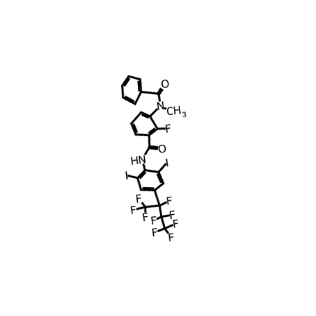 CN(C(=O)c1ccccc1)c1cccc(C(=O)Nc2c(I)cc(C(F)(C(F)(F)F)C(F)(F)C(F)(F)F)cc2I)c1F